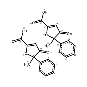 CC1(c2ccccc2)OC(C(=O)O)=CC1=O.CC1(c2ccccc2)OC(C(=O)O)=CC1=O